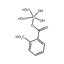 CCCCCCCCP(O)(O)(CCCCCCCC)OC(=O)c1ccccc1C(=O)O